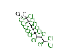 ClC(Cl)C(Cl)C(Cl)C(Cl)C(Cl)(Cl)C(Cl)(Cl)C(Cl)(Cl)C(Cl)(Cl)C(Cl)(Cl)C(Cl)(Cl)Cl